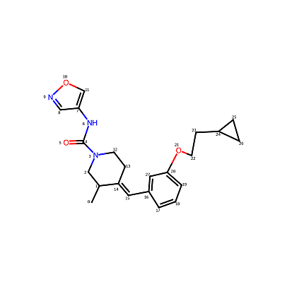 CC1CN(C(=O)Nc2cnoc2)CCC1=Cc1cccc(OCCC2CC2)c1